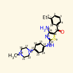 CCc1cccc(C(=O)c2sc(Nc3ccc(N4CCN(C)CC4)cc3)nc2N)c1